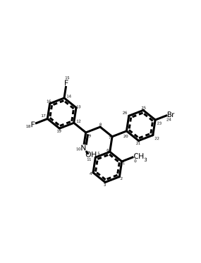 Cc1ccccc1C(C/C(=N\O)c1cc(F)cc(F)c1)c1ccc(Br)cc1